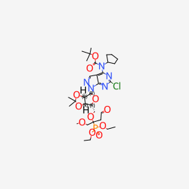 CCOP(=O)(OCC)C(CC=O)(COC)OC[C@H]1O[C@@H](n2ncc3c(N(C(=O)OC(C)(C)C)C4CCCC4)nc(Cl)nc32)[C@@H]2OC(C)(C)O[C@@H]21